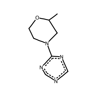 CC1CN(c2ncncn2)CCO1